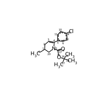 CC1CC=C(c2ccc(Cl)cc2)N(C(=O)OC(C)(C)C)C1